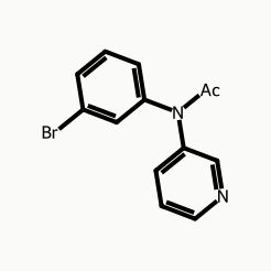 CC(=O)N(c1cccnc1)c1cccc(Br)c1